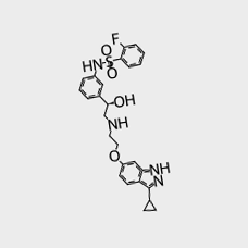 O=S(=O)(Nc1cccc([C@@H](O)CNCCOc2ccc3c(C4CC4)n[nH]c3c2)c1)c1ccccc1F